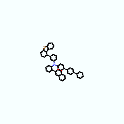 c1ccc(-c2ccc(-c3ccc(N(c4cccc(-c5cccc6sc7ccccc7c56)c4)c4ccccc4-c4ccc5ccccc5c4)cc3)cc2)cc1